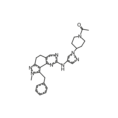 CC(=O)N1CCC(n2cc(Nc3ncc4c(n3)-c3c(nn(C)c3Cc3ccccc3)CC4)cn2)CC1